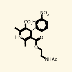 CC(=O)NCCOC(=O)C1=C(C)NC(C)=C(C(=O)O)[C@@H]1c1cccc([N+](=O)[O-])c1